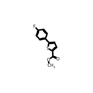 COC(=O)c1ccc(-c2ccc(F)cc2)s1